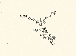 C=CC(=O)NCCOCCOCCC(=O)Nc1cc(C[C@@H](CC(C)C(=O)O)NC(=O)c2csc([C@@H](C[C@H](C(C)C)N(C)C(=O)[C@@H](NC(=O)[C@H]3CCCCN3C)[C@@H](C)CC)OC(C)=O)n2)ccc1OC(=C)CCOCCOCCNC(C)=O